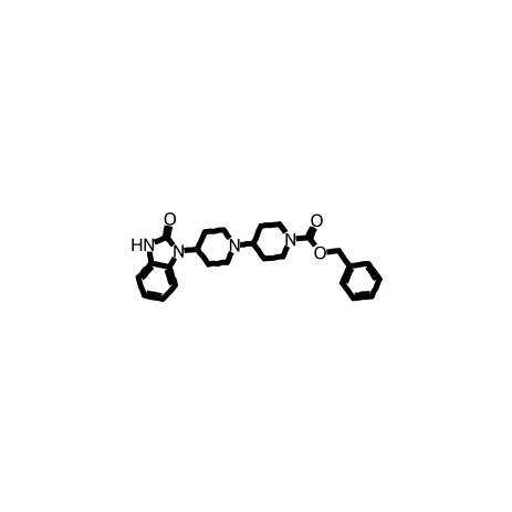 O=C(OCc1ccccc1)N1CCC(N2CCC(n3c(=O)[nH]c4ccccc43)CC2)CC1